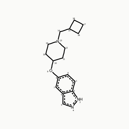 c1cc2[nH]ncc2cc1OC1CCN(CC2CCC2)CC1